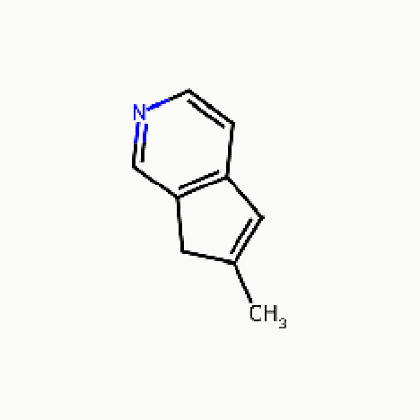 CC1=Cc2ccncc2C1